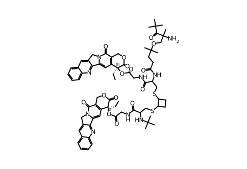 CC[C@@]1(OC(=O)CNC(=O)C(CSC2CCC2SCC(NC(C)(C)C)C(=O)NCC(=O)O[C@]2(CC)C(=O)OCc3c2cc2n(c3=O)Cc3cc4ccccc4nc3-2)NC(=O)CCC(C)(C)OCC(C)(N)C(=O)C(C)(C)C)C(=O)OCc2c1cc1n(c2=O)Cc2cc3ccccc3nc2-1